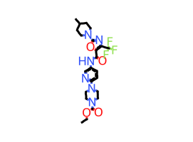 CCOC(=O)N1CCN(c2ccc(NC(=O)c3oc(N4CCC(C)CC4)nc3C(F)(F)F)cn2)CC1